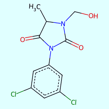 CC1C(=O)N(c2cc(Cl)cc(Cl)c2)C(=O)N1CO